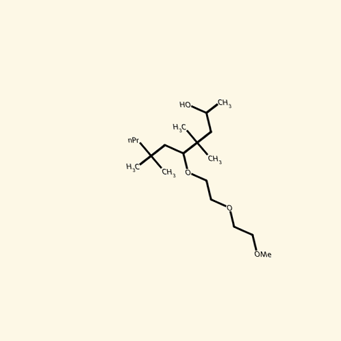 CCCC(C)(C)CC(OCCOCCOC)C(C)(C)CC(C)O